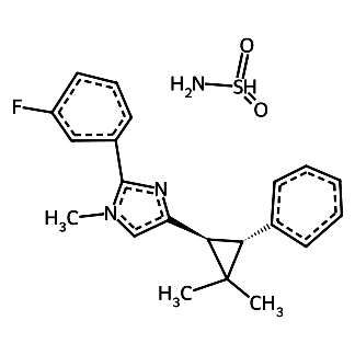 Cn1cc([C@H]2[C@H](c3ccccc3)C2(C)C)nc1-c1cccc(F)c1.N[SH](=O)=O